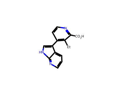 CCc1c(-c2c[nH]c3ncccc23)ccnc1C(=O)O